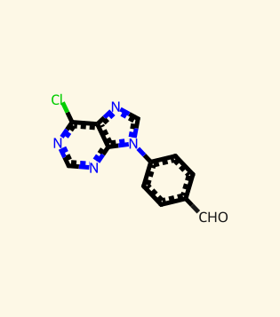 O=Cc1ccc(-n2cnc3c(Cl)ncnc32)cc1